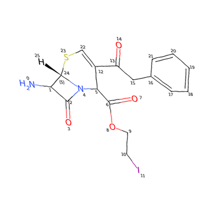 NC1C(=O)N2C(C(=O)OCCI)C(C(=O)Cc3ccccc3)=CS[C@@H]12